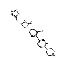 O=C1O[C@@H](Cn2cnnn2)CN1c1ccc(-c2ccc(N3CCNCC3)c(F)c2)c(F)c1